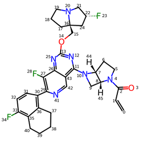 C=CC(=O)N1CC[C@@H]2[C@H]1CN2c1nc(OC[C@@]23CCCN2C[C@H](F)C3)nc2c(F)c(-c3ccc(F)c4c3CCCC4)ncc12